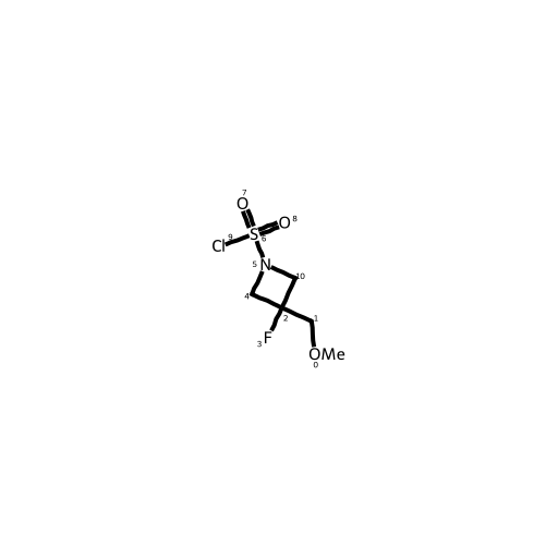 COCC1(F)CN(S(=O)(=O)Cl)C1